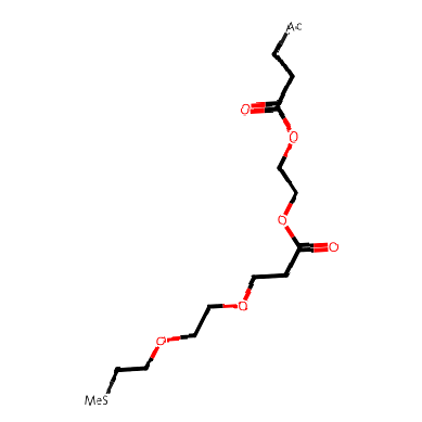 CSCCOCCOCCC(=O)OCCOC(=O)CCC(C)=O